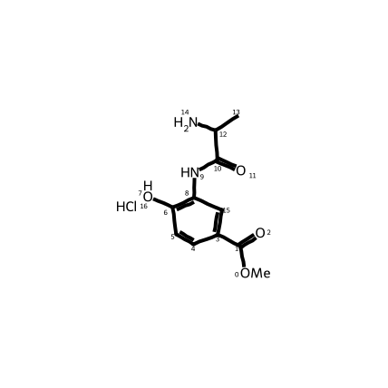 COC(=O)c1ccc(O)c(NC(=O)C(C)N)c1.Cl